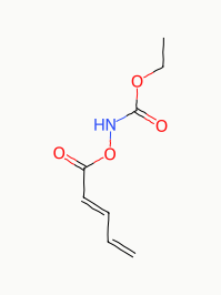 C=CC=CC(=O)ONC(=O)OCC